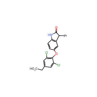 CC(C)C1C(=O)Nc2ccc(Oc3c(Cl)cc(CC(=O)O)cc3Cl)cc21